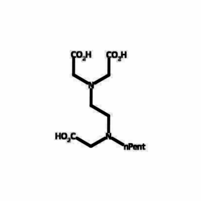 CCCCCN(CCN(CC(=O)O)CC(=O)O)CC(=O)O